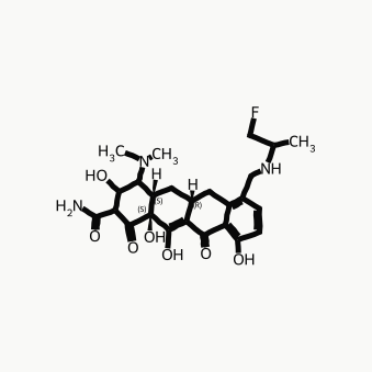 CC(CF)NCc1ccc(O)c2c1C[C@H]1C[C@H]3C(N(C)C)C(O)C(C(N)=O)C(=O)[C@@]3(O)C(O)=C1C2=O